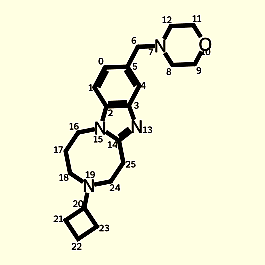 c1cc2c(cc1CN1CCOCC1)nc1n2CCCN(C2CCC2)CC1